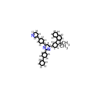 CC1(C)c2ccc(-c3cc(-c4ccc(-c5cccnc5)cc4)nc(-c4ccc(-c5ccccc5)cc4)n3)cc2-c2c1ccc1ccccc21